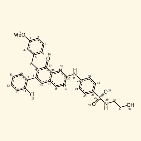 COc1cccc(Cn2c(-c3ccccc3Cl)cc3cnc(Nc4ccc(S(=O)(=O)NCCO)cc4)nc3c2=O)c1